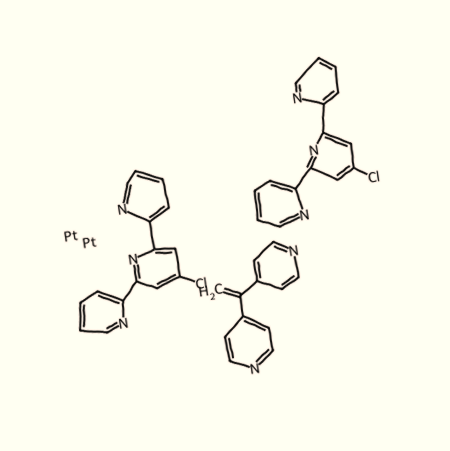 C=C(c1ccncc1)c1ccncc1.Clc1cc(-c2ccccn2)nc(-c2ccccn2)c1.Clc1cc(-c2ccccn2)nc(-c2ccccn2)c1.[Pt].[Pt]